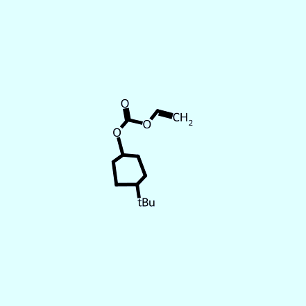 C=COC(=O)OC1CCC(C(C)(C)C)CC1